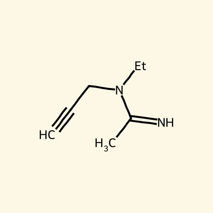 C#CCN(CC)C(C)=N